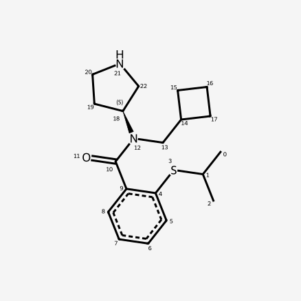 CC(C)Sc1ccccc1C(=O)N(CC1CCC1)[C@H]1CCNC1